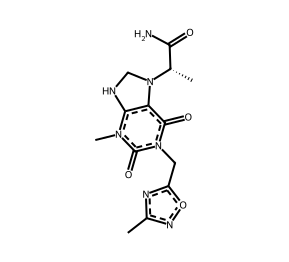 Cc1noc(Cn2c(=O)c3c(n(C)c2=O)NCN3[C@@H](C)C(N)=O)n1